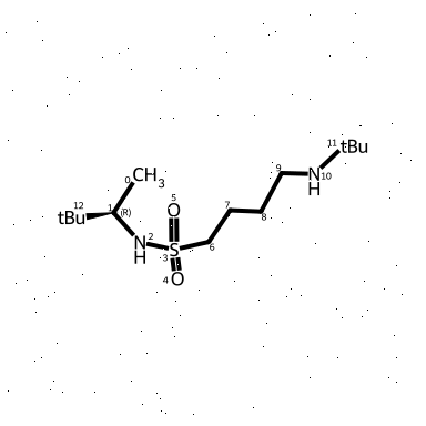 C[C@@H](NS(=O)(=O)CCCCNC(C)(C)C)C(C)(C)C